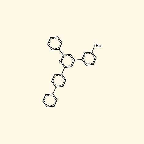 CC(C)(C)c1cccc(-c2cc(-c3ccccc3)nc(-c3ccc(-c4ccccc4)cc3)c2)c1